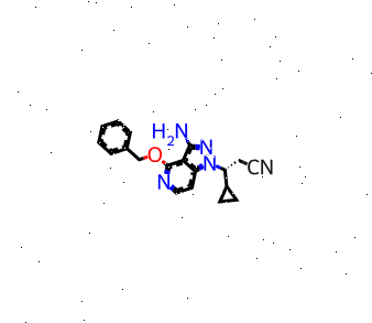 N#CC[C@H](C1CC1)n1nc(N)c2c(OCc3ccccc3)nccc21